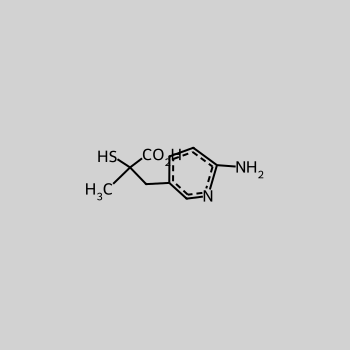 CC(S)(Cc1ccc(N)nc1)C(=O)O